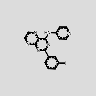 Ic1cccc(-c2nc(Nc3ccncc3)c3nccnc3n2)c1